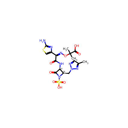 Cc1cnn(C[C@@H]2[C@H](NC(=O)C(=NOC(C)(C)C(=O)O)c3csc(N)n3)C(=O)N2S(=O)(=O)O)n1